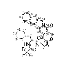 CC[C@@]1(OC(=O)[C@H](CC2CCCCC2)NC(=O)C(F)(F)F)C(=O)OCc2c1cc1n(c2=O)Cc2cc3ccccc3nc2-1